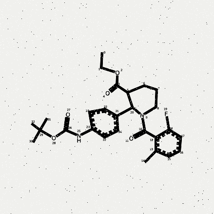 CCOC(=O)C1CCCN(C(=O)c2c(C)cccc2F)C1c1ccc(NC(=O)OC(C)(C)C)cc1